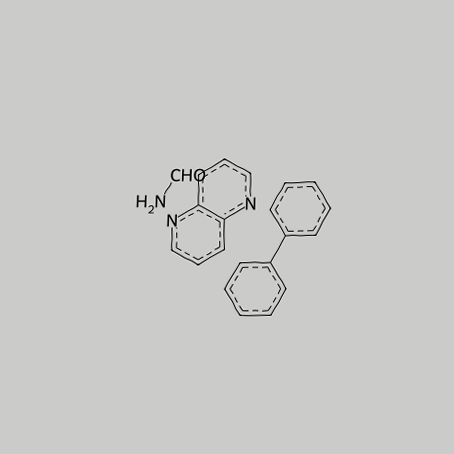 NC=O.c1ccc(-c2ccccc2)cc1.c1cnc2cccnc2c1